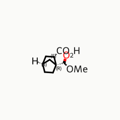 COC(=O)[C@@]12CC[C@@H](C[C@@H]1C(=O)O)C2